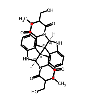 CN1C(=O)C23C[C@]4([C@]56CC78SSC(CO)(C(=O)N7[C@H]5Nc5ccccc56)N(C)C8=O)c5ccccc5N[C@@H]4N2C(=O)C1(CO)SS3